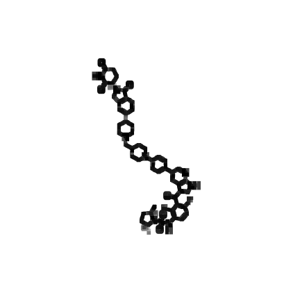 C[C@@H]1CC[C@@H](C)N1S(=O)(=O)Nc1ccc(F)c(C(=O)c2c[nH]c3ncc(-c4ccc(N5CCC(CN6CCC(c7ccc8c(c7)CN([C@H]7CCC(=O)NC7=O)C8=O)CC6)CC5)cc4)cc23)c1F